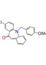 COc1ccc(CN2c3ccc(Cl)cc3C(=O)C=C3C=CC=CC32)cc1